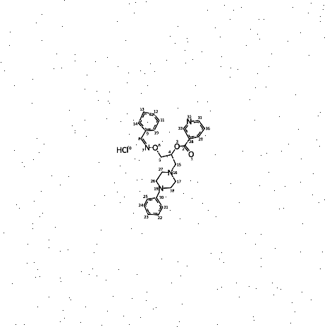 Cl.O=C(OC(CO/N=C\c1ccccc1)CN1CCN(c2ccccc2)CC1)c1cccnc1